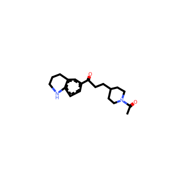 CC(=O)N1CCC(CCC(=O)c2ccc3c(c2)CCCN3)CC1